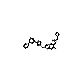 Cc1cc2nc(Cn3cc(-c4cncc(-n5cccc5)c4)nn3)cn2cc1CNCC1CCC1